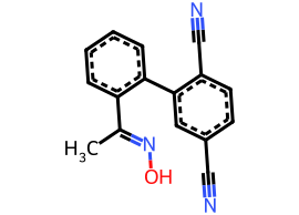 CC(=NO)c1ccccc1-c1cc(C#N)ccc1C#N